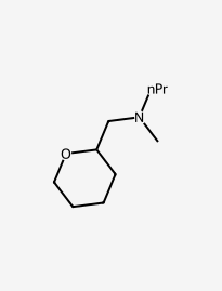 CCCN(C)CC1CCCCO1